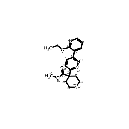 CCOc1ncccc1-c1ccc(C2(C(=O)OC)CCNCC2)nn1